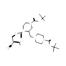 CC(C)(C)OC(=O)N1CCN(CC2CN(C(=O)OC(C)(C)C)CCN2c2ncc(C#N)c(Cl)n2)CC1